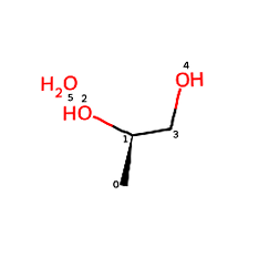 C[C@@H](O)CO.O